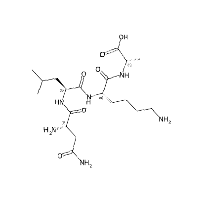 CC(C)C[C@H](NC(=O)[C@@H](N)CC(N)=O)C(=O)N[C@@H](CCCCN)C(=O)N[C@@H](C)C(=O)O